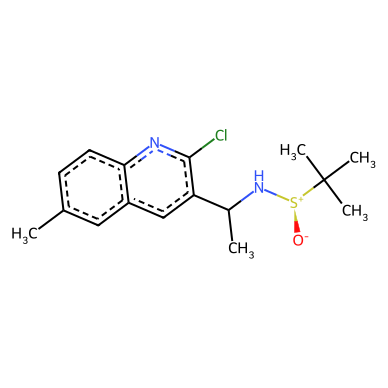 Cc1ccc2nc(Cl)c(C(C)N[S@+]([O-])C(C)(C)C)cc2c1